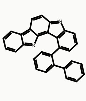 c1ccc(-c2ccccc2-c2cccc3c2-c2c4c(ccc2=N3)=c2ccccc2=N4)cc1